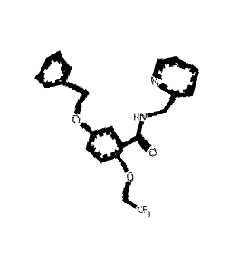 O=C(NCc1ccccn1)c1cc(OCc2ccccc2)ccc1OCC(F)(F)F